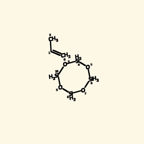 C=CC.O1[SiH2]O[SiH2]O[SiH2]O[SiH2]1